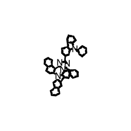 c1ccc(-c2nc(-c3ccc4c5ccccc5n(-c5ccccc5)c4c3)nc(-c3c(-n4c5ccccc5c5cc6ccccc6cc54)ccc4ccccc34)n2)cc1